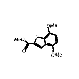 COC(=O)c1cc2c(OC)ccc(OC)c2s1